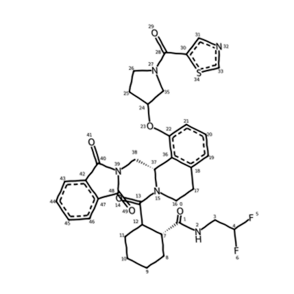 O=C(NCC(F)F)[C@@H]1CCCCC1C(=O)N1CCc2cccc(OC3CCN(C(=O)c4cncs4)C3)c2[C@H]1CN1C(=O)c2ccccc2C1=O